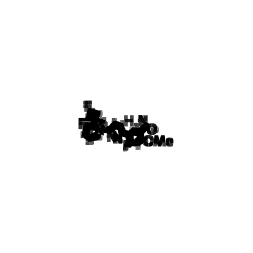 COc1cc(F)c(-c2ccc(NC[C@]3(c4ncccc4F)C[C@H](F)C3)nn2)cc1C(N)=O